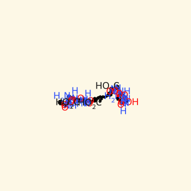 Cc1cn(CC(=O)N(CCNC(=O)CN(CCN)C(=O)Cn2cnc3c(O)nc(NC(=O)OCc4ccccc4)nc32)CC(=O)O)c(=O)n(Cc2ccc(C#CCCC(CC#Cc3ccc(COC(=O)Nc4ncnc5c4ncn5CC(=O)N(CCNC(=O)CN(CCN)C(=O)CN4C=CC(NC(=O)OCc5ccccc5)NC4=O)CC(=O)O)cc3)CCCC(=O)O)cc2)c1=O